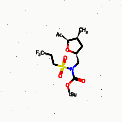 CC(=O)[C@H]1O[C@@H](CN(C(=O)OC(C)(C)C)S(=O)(=O)CCC(F)(F)F)C[C@H]1C